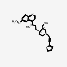 COc1ccc2nccc([C@@H](O)CC[C@@H]3CCN(CC#Cc4cccs4)C[C@@H]3CO)c2c1